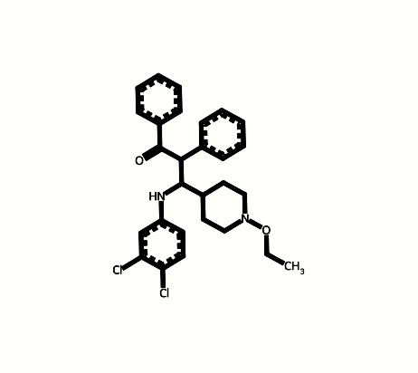 CCON1CCC(C(Nc2ccc(Cl)c(Cl)c2)C(C(=O)c2ccccc2)c2ccccc2)CC1